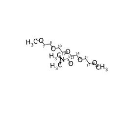 CN(C)C=O.COCCOCCOCCOCCOC